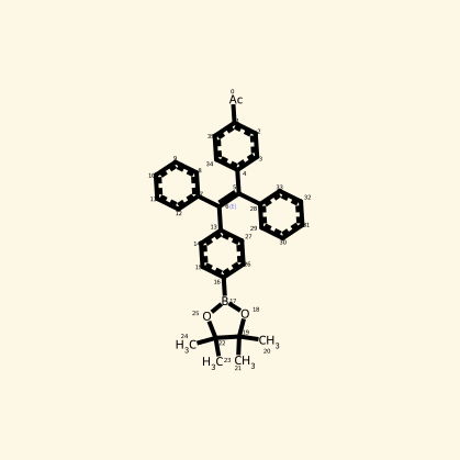 CC(=O)c1ccc(/C(=C(\c2ccccc2)c2ccc(B3OC(C)(C)C(C)(C)O3)cc2)c2ccccc2)cc1